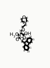 CN(C(=O)OCC1c2ccccc2-c2ccccc21)[C@@H](COCCN1CCOCC1)C(=O)O